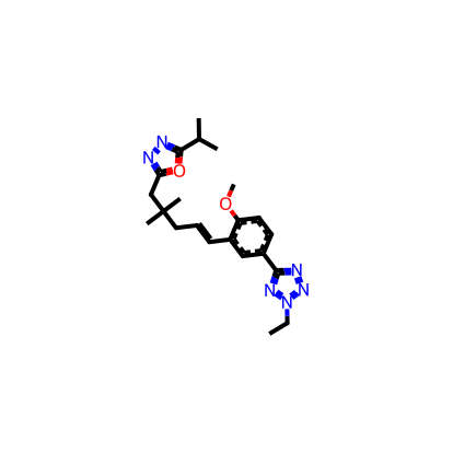 CCn1nnc(-c2ccc(OC)c(/C=C/CC(C)(C)Cc3nnc(C(C)C)o3)c2)n1